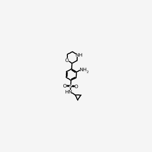 Nc1cc(S(=O)(=O)NC2CC2)ccc1C1CNCCO1